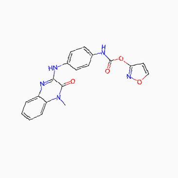 Cn1c(=O)c(Nc2ccc(NC(=O)Oc3ccon3)cc2)nc2ccccc21